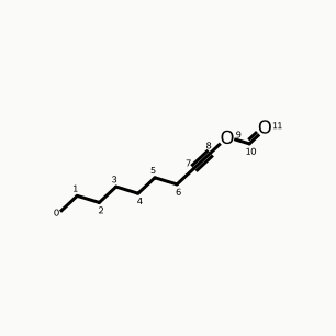 CCCCCCCC#COC=O